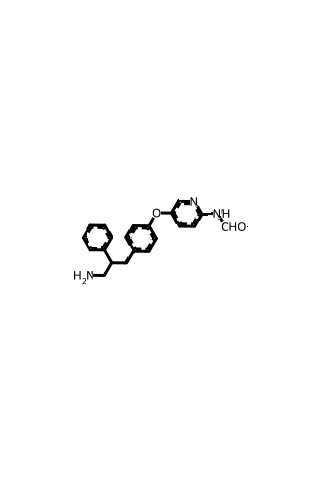 NCC(Cc1ccc(Oc2ccc(N[C]=O)nc2)cc1)c1ccccc1